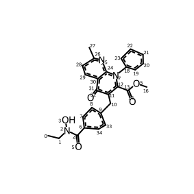 CCN(O)C(=O)c1ccc(Cc2c(C(=O)OC)n(-c3ccccc3)c3nc(C)ccc3c2=O)cc1